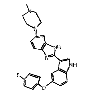 CN1CCN(c2ccc3nc(-c4n[nH]c5ccc(Oc6ccc(F)cc6)cc45)[nH]c3c2)CC1